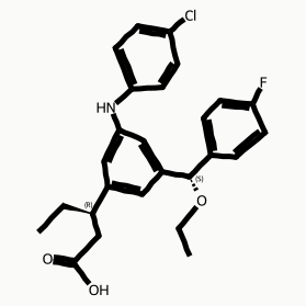 CCO[C@@H](c1ccc(F)cc1)c1cc(Nc2ccc(Cl)cc2)cc([C@H](CC)CC(=O)O)c1